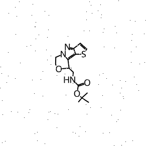 CC(C)(C)OC(=O)NCC1OCCn2nc3ccsc3c21